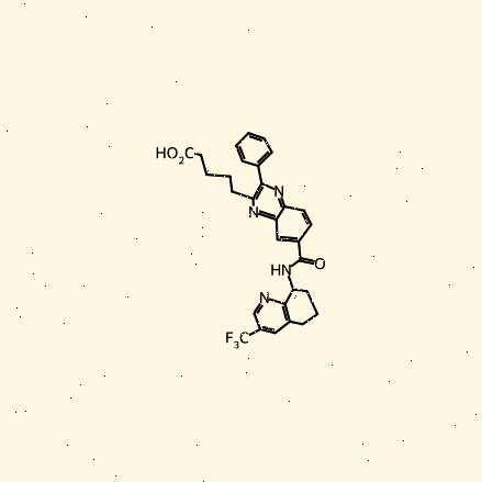 O=C(O)CCCCc1nc2cc(C(=O)NC3CCCc4cc(C(F)(F)F)cnc43)ccc2nc1-c1ccccc1